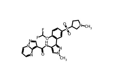 CN1CCC(S(=O)(=O)c2ccc(OC(F)F)c(-c3nn(C)cc3NC(=O)c3cnn4cccnc34)c2)C1